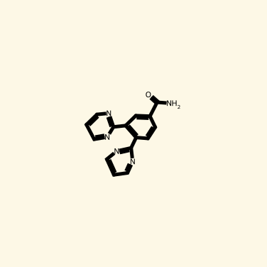 NC(=O)c1ccc(-c2ncccn2)c(-c2ncccn2)c1